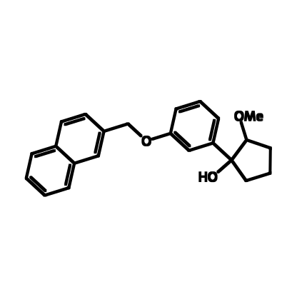 COC1CCCC1(O)c1cccc(OCc2ccc3ccccc3c2)c1